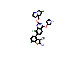 N#Cc1c(N)sc2c(F)ccc(-c3ccc4c(OC5CCNC5)nc(OCC56CCCN5CC(F)C6)nc4c3F)c12